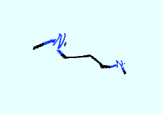 C[N]CCC[N]C